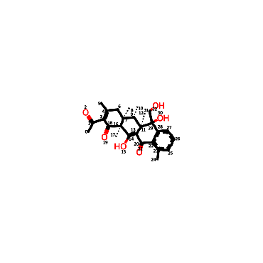 CC(=O)C1=C(C)C[C@@]2(C)[C@H](C)[C@]3(C)C(=C(O)[C@@]2(C)C1=O)C(=O)c1c(C)cccc1C3(O)CO